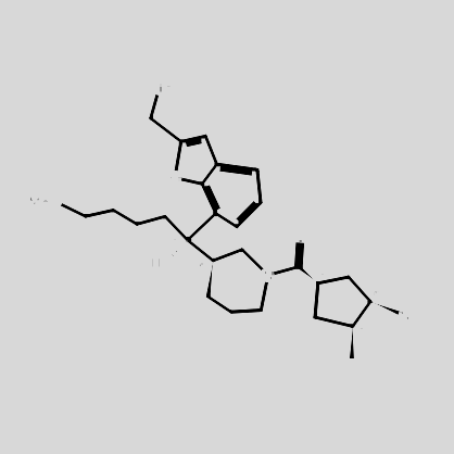 COCCCC[C@@](O)(c1cccc2cc(CC(C)C)oc12)[C@@H]1CCCN(C(=O)[C@H]2C[C@@H](N)[C@@H](O)C2)C1